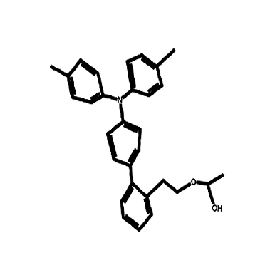 Cc1ccc(N(c2ccc(C)cc2)c2ccc(-c3ccccc3CCOC(C)O)cc2)cc1